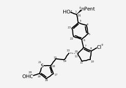 CCCCC[C@H](O)c1ccc(C2=C(Cl)CC[C@@H]2CCCc2ccc(C=O)s2)cc1